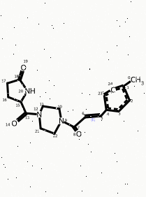 Cc1ccc(/C=C/C(=O)N2CCN(C(=O)C3CCC(=O)N3)CC2)cc1